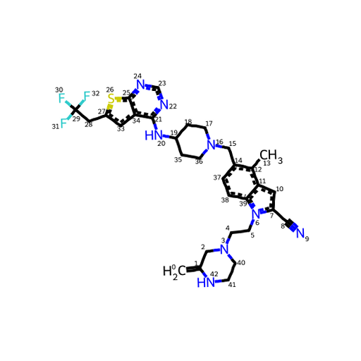 C=C1CN(CCn2c(C#N)cc3c(C)c(CN4CCC(Nc5ncnc6sc(CC(F)(F)F)cc56)CC4)ccc32)CCN1